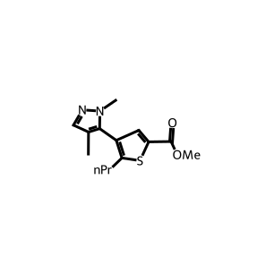 CCCc1sc(C(=O)OC)cc1-c1c(C)cnn1C